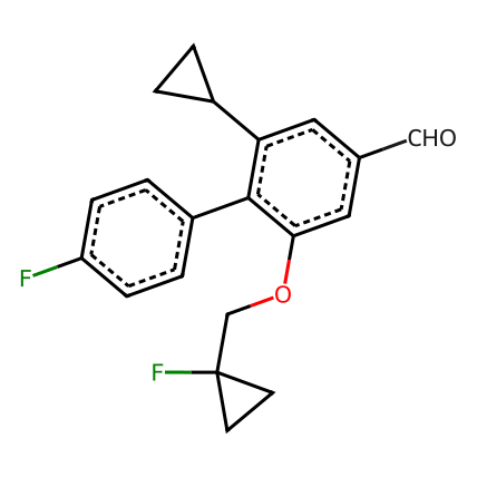 O=Cc1cc(OCC2(F)CC2)c(-c2ccc(F)cc2)c(C2CC2)c1